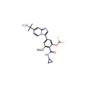 COc1cc(-c2cnc3cc(C(C)(C)N)ccn23)cc(OC(F)F)c1C(=O)NC1CC1